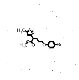 COC(=O)C(CCCOc1ccc(Br)cc1)c1cc(C)no1